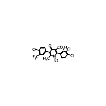 CCn1c(C)c(-c2ccc(Cl)c(C(F)(F)F)c2)c(=O)c(C(=O)O)c1-c1ccc(Cl)c(Cl)c1